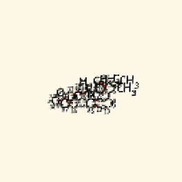 CC(C)(C)c1cc(-c2cccc3cccc(-c4ccccc4N(c4cccc(-c5ccc6c(c5)oc5ccccc56)c4)c4ccccc4-c4cccc5c4ccc4ccccc45)c23)cc(C(C)(C)C)c1